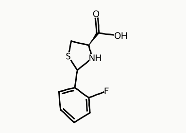 O=C(O)[C@@H]1CSC(c2ccccc2F)N1